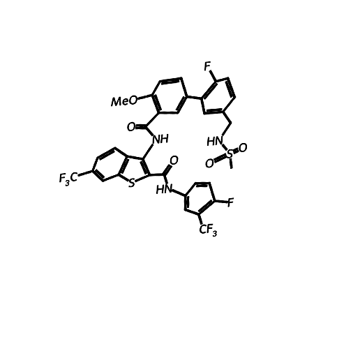 COc1ccc(-c2cc(CNS(C)(=O)=O)ccc2F)cc1C(=O)Nc1c(C(=O)Nc2ccc(F)c(C(F)(F)F)c2)sc2cc(C(F)(F)F)ccc12